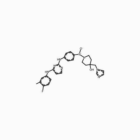 Cc1cc(Nc2ccnc(Nc3ccc([S+]([O-])N4CCC(O)(Cn5ccnc5)CC4)cc3)n2)ccc1F